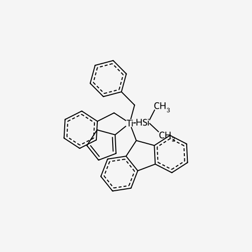 C[SiH](C)[Ti]([CH2]c1ccccc1)([CH2]c1ccccc1)([C]1=CC=CC1)[CH]1c2ccccc2-c2ccccc21